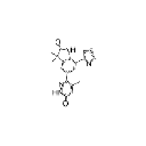 Cc1cc(=O)[nH]nc1-c1cc(-c2cscn2)c2c(c1)C(C)(C)C(=O)N2